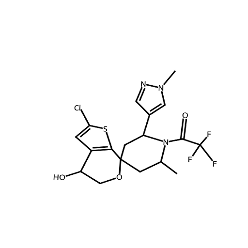 CC1CC2(CC(c3cnn(C)c3)N1C(=O)C(F)(F)F)OCC(O)c1cc(Cl)sc12